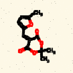 Cc1ccc(C=C2C(=O)OC(C)(C)OC2=O)o1